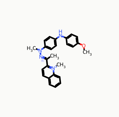 COc1ccc(Nc2ccc(N(C)/N=C(\C)c3ccc4ccccc4[n+]3C)cc2)cc1